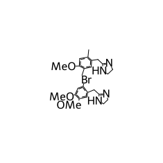 COc1cc(Br)c(CC2=NCCN2)cc1OC.COc1cc(C)c(CC2=NCCN2)cc1C